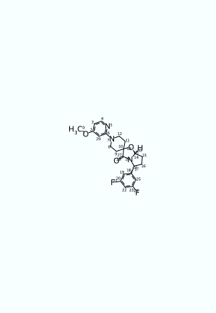 COc1ccnc(N2CCC3(CC2)O[C@@H]2CC[C@@H](c4cc(F)cc(F)c4)N2C3=O)c1